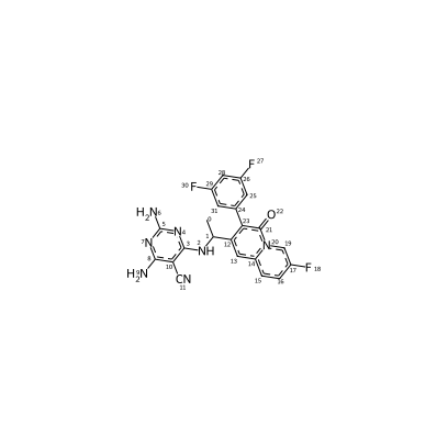 CC(Nc1nc(N)nc(N)c1C#N)c1cc2ccc(F)cn2c(=O)c1-c1cc(F)cc(F)c1